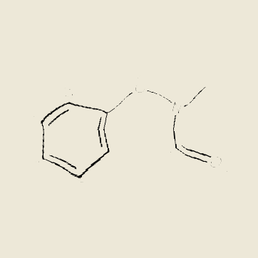 CN(C=O)Oc1ccccc1